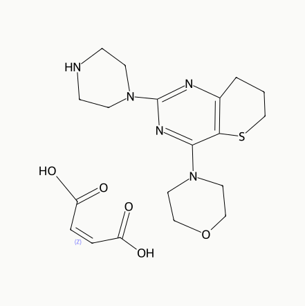 C1CSc2c(nc(N3CCNCC3)nc2N2CCOCC2)C1.O=C(O)/C=C\C(=O)O